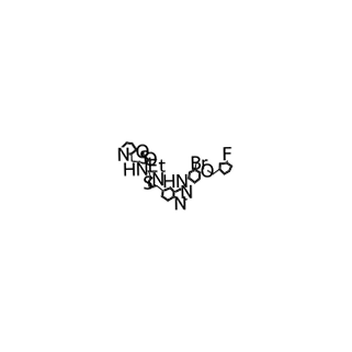 CCC(NC(Cc1ccccn1)=S(=O)=O)c1nc(-c2ccc3ncnc(Nc4ccc(OCc5cccc(F)c5)c(Br)c4)c3c2)cs1